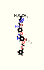 COc1cc2c(Oc3ccc(NC(=O)Cn4cc(C(C)C)nn4)cc3)ncnc2cc1OCCOCc1ccccc1